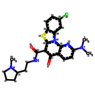 CN(C)c1ccc2c(=O)c(C(=O)NCCC3CCCN3C)c3sc4ccc(Cl)cc4n3c2n1